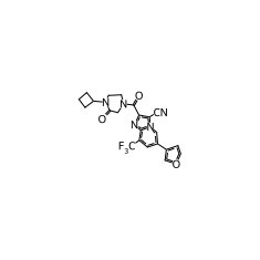 N#Cc1c(C(=O)N2CCN(C3CCC3)C(=O)C2)nc2c(C(F)(F)F)cc(-c3ccoc3)cn12